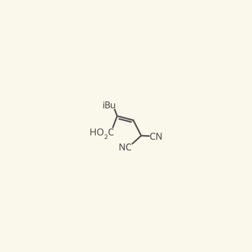 CCC(C)C(=CC(C#N)C#N)C(=O)O